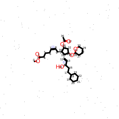 COC(=O)CCC/C=C\C[C@@H]1[C@@H](/C=C/[C@@H](O)CCC2CCCCC2)[C@H](OC2CCCCO2)C[C@@H]1OC(C)=O